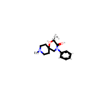 CCN1CCC2(CC1)CN(c1ccccc1)C(=O)[C@@H](C)O2